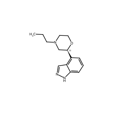 CCCN1CCO[C@@H](c2cccc3[nH]ncc23)C1